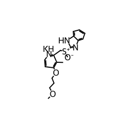 COCCCOc1ccnc(C[S+]([O-])c2nc3ccccc3[nH]2)c1C.[KH]